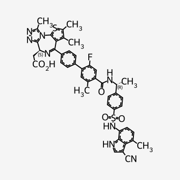 Cc1cc(-c2ccc(C3=N[C@@H](CC(=O)O)c4nnc(C)n4-c4sc(C)c(C)c43)cc2)c(F)cc1C(=O)N[C@H](C)c1ccc(S(=O)(=O)Nc2ccc(C)c3c(C#N)c[nH]c23)cc1